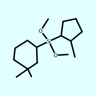 CO[Si](OC)(C1CCCC(C)(C)C1)C1CCCC1C